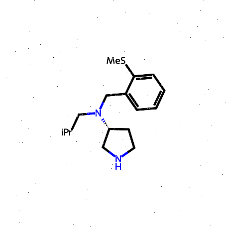 CSc1ccccc1CN(CC(C)C)[C@@H]1CCNC1